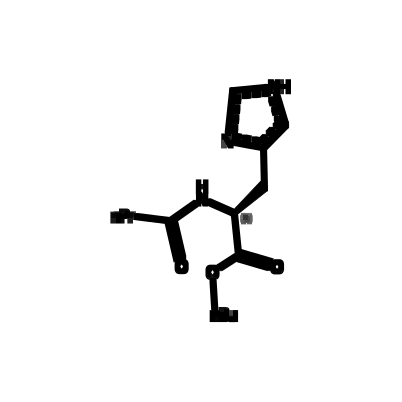 CCCCOC(=O)[C@H](Cc1c[nH]cn1)NC(=O)CCC